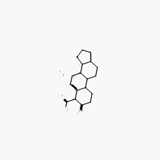 C[C@H]1CCC2C3CC=C4C(C(=O)[O-])C(=O)CC[C@]4(C)C3CC[C@@]21C.[Na+]